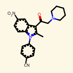 Cc1c(C(=O)CN2CCCCC2)c2cc([N+](=O)[O-])ccc2n1-c1ccc(C#N)cc1